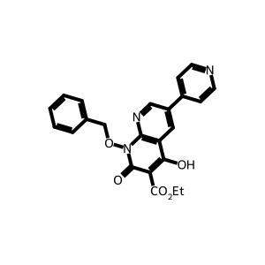 CCOC(=O)c1c(O)c2cc(-c3ccncc3)cnc2n(OCc2ccccc2)c1=O